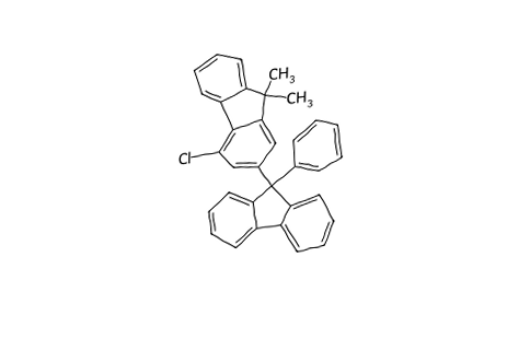 CC1(C)c2ccccc2-c2c(Cl)cc(C3(c4ccccc4)c4ccccc4-c4ccccc43)cc21